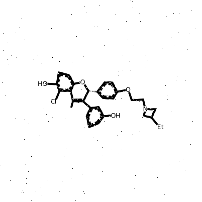 CCC1CN(CCOc2ccc([C@H]3Oc4ccc(O)c(Cl)c4C(C)=C3c3cccc(O)c3)cc2)C1